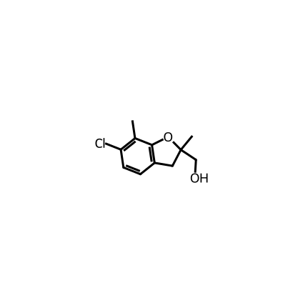 Cc1c(Cl)ccc2c1OC(C)(CO)C2